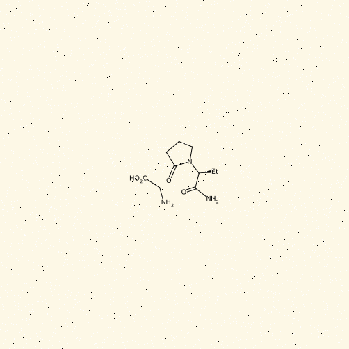 CC[C@@H](C(N)=O)N1CCCC1=O.NCC(=O)O